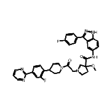 COC1(C(=O)Nc2ccc3[nH]nc(-c4ccc(F)cc4)c3c2)CCN(CC(=O)N2CCC(c3ccc(-c4ncccn4)cc3F)CC2)C1